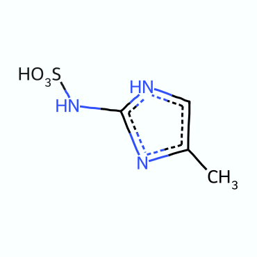 Cc1c[nH]c(NS(=O)(=O)O)n1